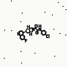 O=C(Nc1ccc(Cl)cc1)C(=O)N1C[C@H]2C[C@@H](c3ccnc4ccc(F)cc34)C[C@H]2C1